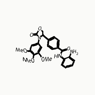 COc1cc(N2C(=O)OCC2c2ccc(C(=O)Nc3ccccc3N)cc2)cc(OC)c1OC